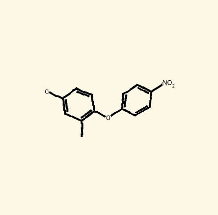 Cc1cc(Cl)ccc1Oc1ccc([N+](=O)[O-])cc1